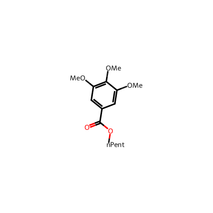 [CH2]CCCCOC(=O)c1cc(OC)c(OC)c(OC)c1